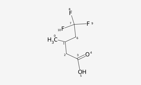 CC(CC(=O)O)CC(F)(F)F